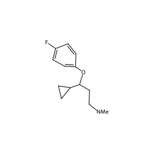 CNCCC(Oc1ccc(F)cc1)C1CC1